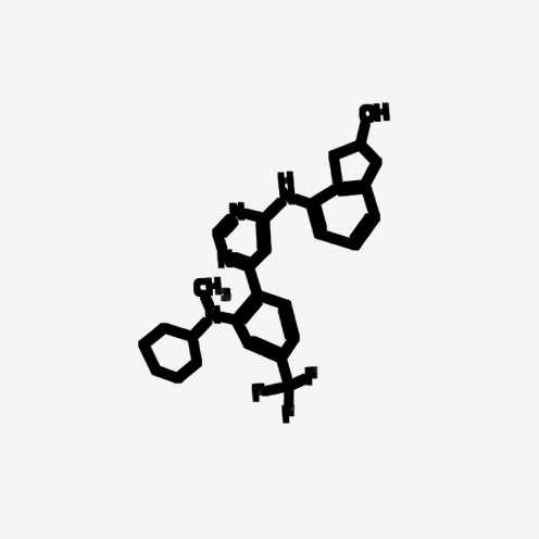 CN(c1cc(C(F)(F)F)ccc1-c1cc(Nc2cccc3c2CC(O)C3)ncn1)C1CCCCC1